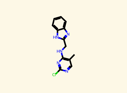 Cc1cnc(Cl)nc1NCc1nc2ccccc2[nH]1